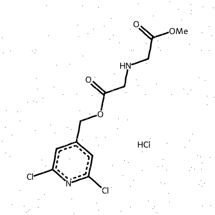 COC(=O)CNCC(=O)OCc1cc(Cl)nc(Cl)c1.Cl